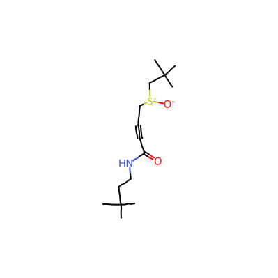 CC(C)(C)CCNC(=O)C#CC[S+]([O-])CC(C)(C)C